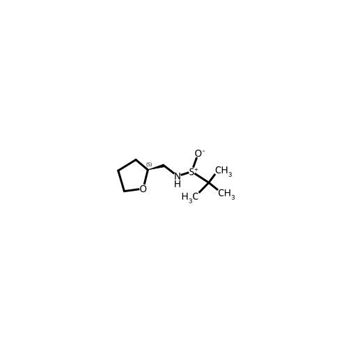 CC(C)(C)[S+]([O-])NC[C@@H]1CCCO1